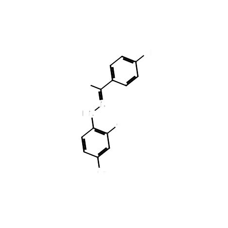 FC(F)(F)/C(=N\Nc1ccc(C(F)(F)F)cc1Cl)c1ccc(Cl)cc1